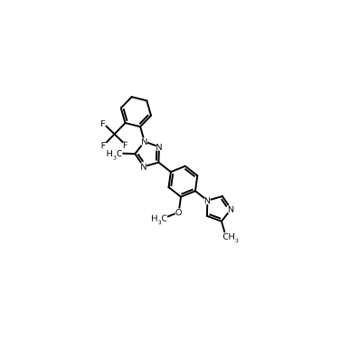 COc1cc(-c2nc(C)n(C3=CCCC=C3C(F)(F)F)n2)ccc1-n1cnc(C)c1